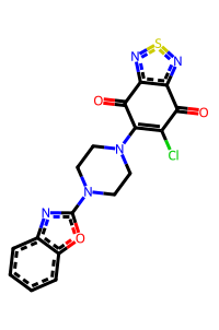 O=C1C(Cl)=C(N2CCN(c3nc4ccccc4o3)CC2)C(=O)c2nsnc21